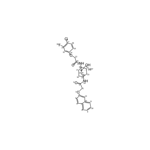 O=C(COc1ccc2ccccc2c1)NC12CCC(NC(=O)COc3ccc(Cl)c(F)c3)(CC1)[C@@H](O)C2